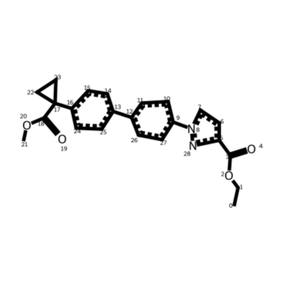 CCOC(=O)c1ccn(-c2ccc(-c3ccc(C4(C(=O)OC)CC4)cc3)cc2)n1